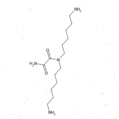 NCCCCCCN(CCCCCCN)C(=O)C(N)=O